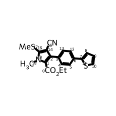 CCOC(=O)c1c(-c2ccc(-c3cccs3)cc2)c(C#N)c(SC)n1C